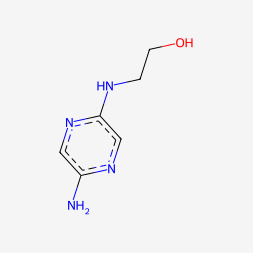 Nc1cnc(NCCO)cn1